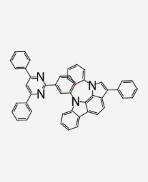 c1ccc(-c2cc(-c3ccccc3)nc(-c3cccc(-n4c5ccccc5c5ccc6c(-c7ccccc7)cn(-c7ccccc7)c6c54)c3)n2)cc1